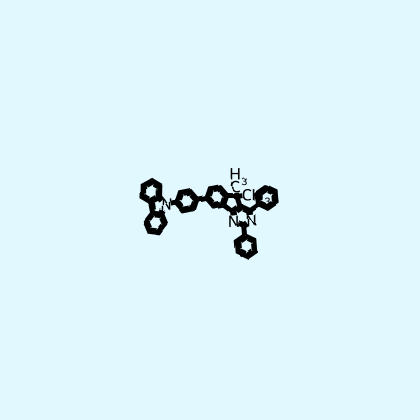 CC1(C)c2ccc(-c3ccc(-n4c5ccccc5c5ccccc54)cc3)cc2-c2nc(-c3ccccc3)nc(-c3ccccc3)c21